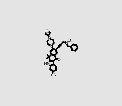 CCN(CC#Cc1cc2c(cc1N1CCN(C3COC3)CC1)C(C)(C)c1[nH]c3cc(C#N)ccc3c1C2=O)Cc1ccccc1